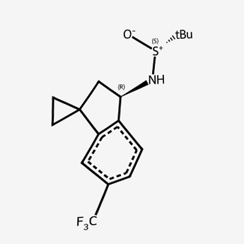 CC(C)(C)[S@@+]([O-])N[C@@H]1CC2(CC2)c2cc(C(F)(F)F)ccc21